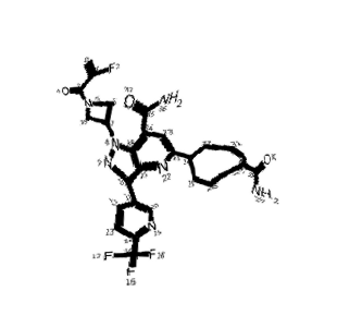 C=C(F)C(=O)N1CC(n2nc(-c3ccc(C(F)(F)F)nc3)c3nc(C4CCC(C(N)=O)CC4)cc(C(N)=O)c32)C1